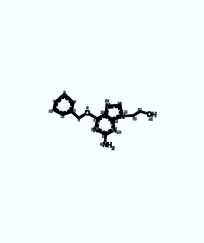 Nc1nc(OCc2ccccc2)c2ncn(CCO)c2n1